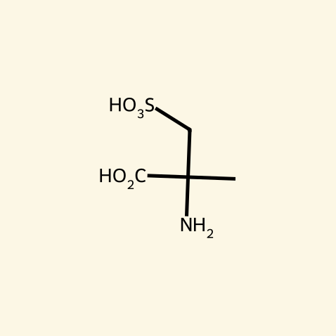 CC(N)(CS(=O)(=O)O)C(=O)O